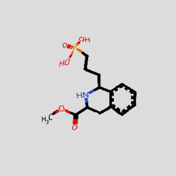 COC(=O)C1Cc2ccccc2C(CCCP(=O)(O)O)N1